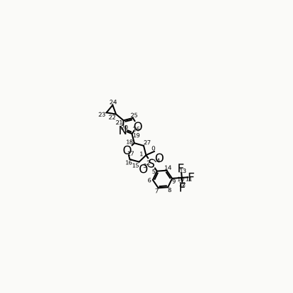 CC1(S(=O)(=O)c2cccc(C(F)(F)F)c2)CCOC(c2nc(C3CC3)co2)C1